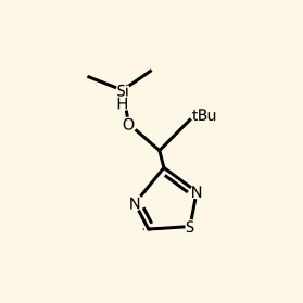 C[SiH](C)OC(c1n[c]sn1)C(C)(C)C